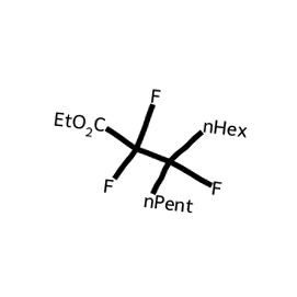 CCCCCCC(F)(CCCCC)C(F)(F)C(=O)OCC